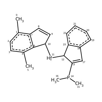 Cc1ccc(C)c2c1C=C[CH]2[Hf][CH]1C(P(C)C)=Cc2ccccc21